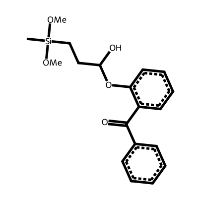 CO[Si](C)(CCC(O)Oc1ccccc1C(=O)c1ccccc1)OC